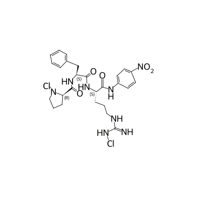 N=C(NCl)NCCC[C@H](NC(=O)[C@H](Cc1ccccc1)NC(=O)[C@H]1CCCN1Cl)C(=O)Nc1ccc([N+](=O)[O-])cc1